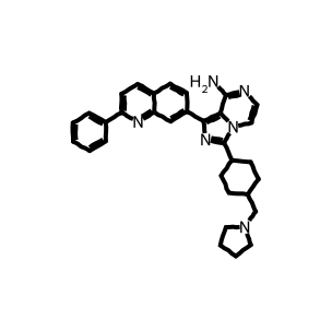 Nc1nccn2c(C3CCC(CN4CCCC4)CC3)nc(-c3ccc4ccc(-c5ccccc5)nc4c3)c12